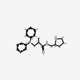 CC(CP(c1ccccc1)c1ccccc1)C(=O)OCC1CCCO1